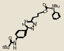 CC(C)(C)C(=O)Nc1ccc(-c2nnc(CCCOC(=O)N(c3ccccc3)C(C)(C)C)nn2)cc1